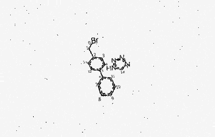 BrCc1ccc(-c2ccccc2)cc1.c1nnn[nH]1